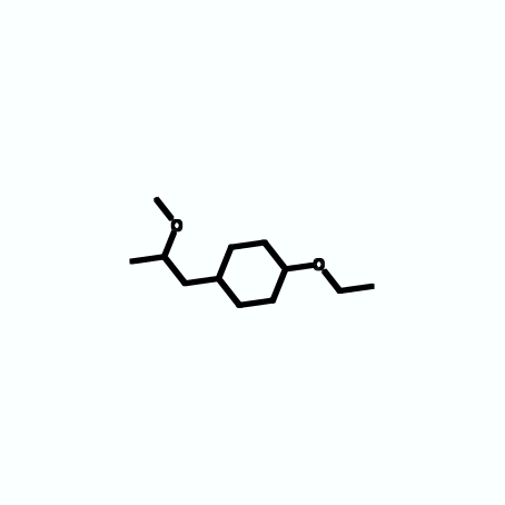 CCOC1CCC(CC(C)OC)CC1